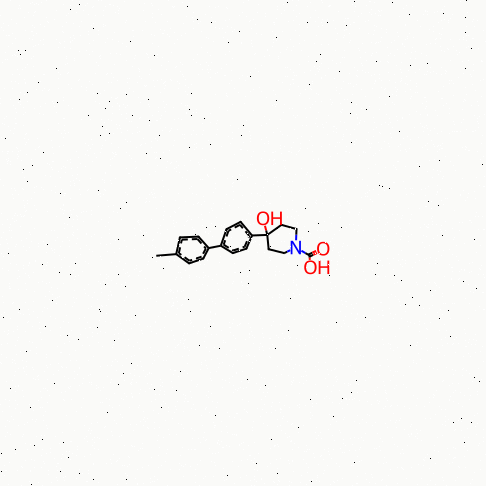 Cc1ccc(-c2ccc(C3(O)CCN(C(=O)O)CC3)cc2)cc1